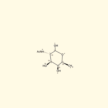 CC(=O)N[C@@H]1C(O)O[C@@H](C)[C@@H](O)[C@H]1O